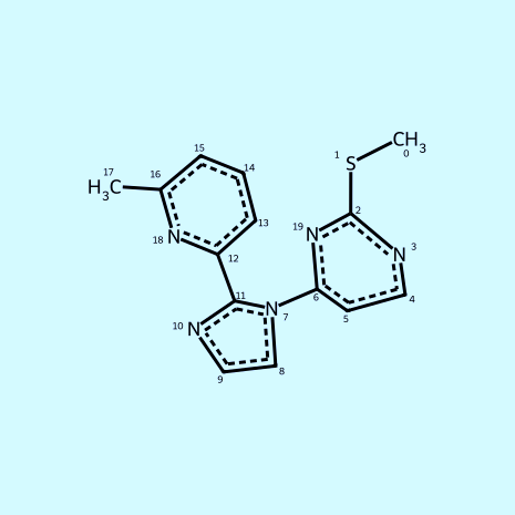 CSc1nccc(-n2ccnc2-c2cccc(C)n2)n1